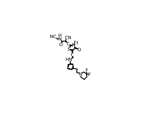 CCn1c(=C=C(C#N)C(=O)NCC#N)sc(=C=CNc2cccc(CCN3CCCC(F)(F)C3)c2)c1=O